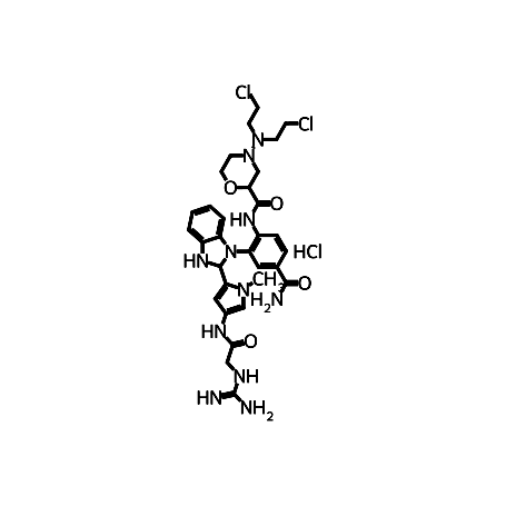 Cl.Cn1cc(NC(=O)CNC(=N)N)cc1C1Nc2ccccc2N1c1cc(C(N)=O)ccc1NC(=O)C1CN(N(CCCl)CCCl)CCO1